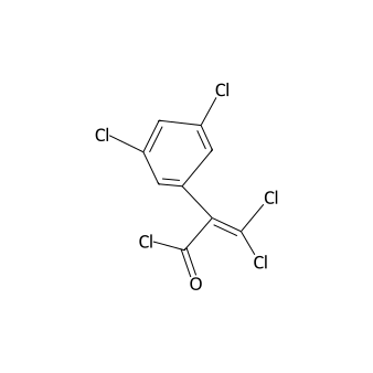 O=C(Cl)C(=C(Cl)Cl)c1cc(Cl)cc(Cl)c1